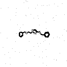 c1ccc(COCCn2ncc(SCc3ccccc3)n2)cc1